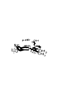 Br.COc1cc2c(c(F)c1OC)C(=N)N(CC(=O)c1cc3c(c(C(C)(C)C)c1)OCCN3CCC(=O)O)C2